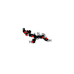 COc1ccc(CN2CCN(C3CC4(CCN(c5cc(Oc6cnc7[nH]ccc7c6)c(C(=O)NS(=O)(=O)c6ccc(NCC7CCC(C)(O)CC7)c([N+](=O)[O-])c6)cc5F)CC4)C3)C(c3ccccc3C(C)C)C2)cc1